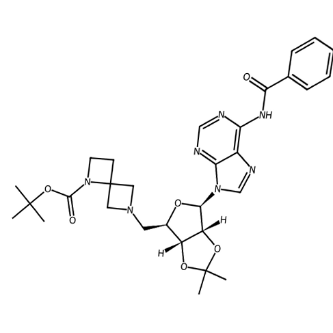 CC(C)(C)OC(=O)N1CCC12CN(C[C@H]1O[C@@H](n3cnc4c(NC(=O)c5ccccc5)ncnc43)[C@@H]3OC(C)(C)O[C@@H]31)C2